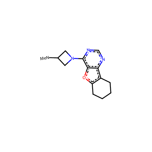 CNC1CN(c2ncnc3c4c(oc23)CCCC4)C1